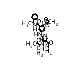 CC(C)[C@@H](C)Nc1nc(Nc2ccc(OS(C)(=O)=O)c(C(=O)N[C@@H](C)c3ccccc3)c2)ncc1C(N)=O